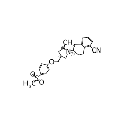 C[C@@H]1C[C@H](COc2ccc(S(C)(=O)=O)cc2)CN1[C@@H]1CCc2c(C#N)cccc2C1